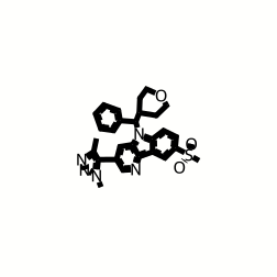 Cc1nnn(C)c1-c1cnc2c3cc(S(C)(=O)=O)ccc3n(C(c3ccccc3)C3CCOCC3)c2c1